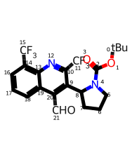 CC(C)(C)OC(=O)N1CCCC1c1c(C(F)(F)F)nc2c(C(F)(F)F)cccc2c1C=O